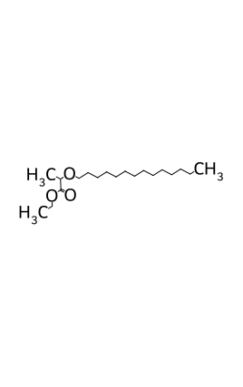 CCCCCCCCCCCCCCOC(C)C(=O)OCC